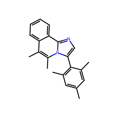 Cc1cc(C)c(-c2cnc3c4ccccc4c(C)c(C)n23)c(C)c1